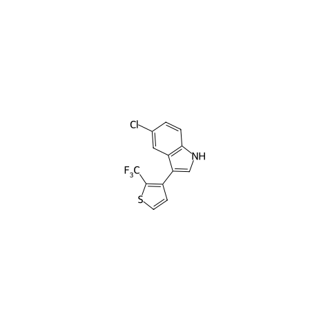 FC(F)(F)c1sccc1-c1c[nH]c2ccc(Cl)cc12